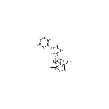 CN1[C@@H]2CC[C@H]1C[C@@H](n1cc(-c3ccccc3)nn1)C2